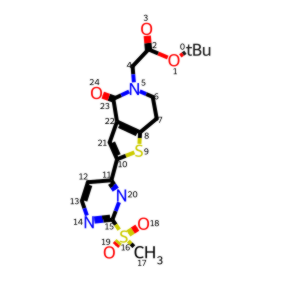 CC(C)(C)OC(=O)CN1CCc2sc(-c3ccnc(S(C)(=O)=O)n3)cc2C1=O